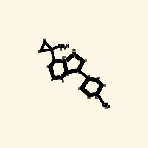 O=C(O)C1(c2ccnc3c(-c4ccc(C(F)(F)F)cc4)cnn23)CC1